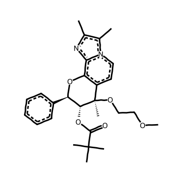 COCCO[C@]1(C)c2ccn3c(C)c(C)nc3c2O[C@H](c2ccccc2)[C@H]1OC(=O)C(C)(C)C